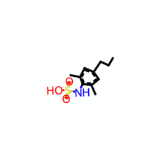 CCCc1cc(C)c(NS(=O)(=O)O)c(C)c1